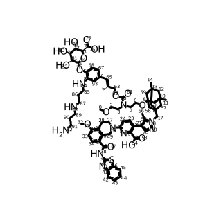 COCCN(CCOC12CC3(C)CC(C)(CC(Cn4ncc(-c5ccc(N6CCc7c(OC)ccc(C(=O)Nc8nc9ccccc9s8)c7C6)nc5C(=O)O)c4C)(C3)C1)C2)C(=O)OC/C=C/c1ccc(O[C@@H]2O[C@H](C(=O)O)[C@@H](O)[C@H](O)[C@H]2O)c(NCCCNCCCN)c1